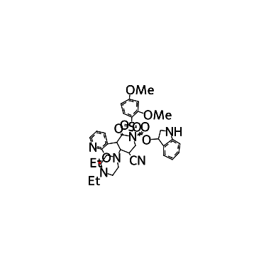 CCOc1ncccc1C1C(=O)[N+](C(=O)OC2CNc3ccccc32)(S(=O)(=O)c2ccc(OC)cc2OC)CC(C#N)C1N1CCN(CC)CC1